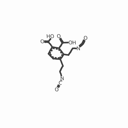 O=C=NCCc1ccc(C(=O)O)c(C(=O)O)c1CCN=C=O